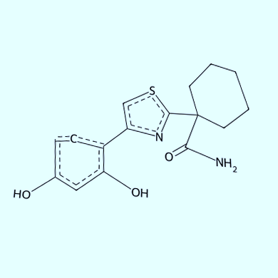 NC(=O)C1(c2nc(-c3ccc(O)cc3O)cs2)CCCCC1